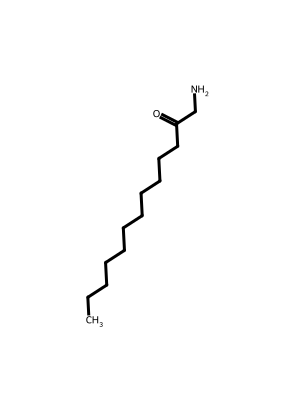 CCCCCCCCCCCC(=O)CN